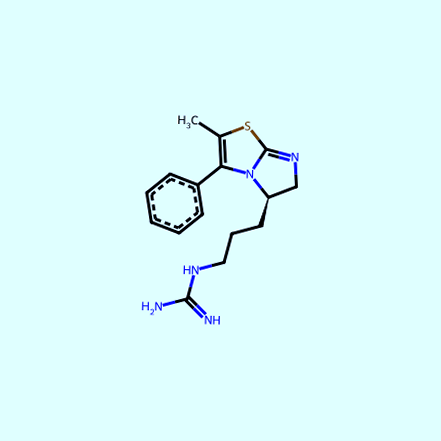 CC1=C(c2ccccc2)N2C(=NC[C@H]2CCCNC(=N)N)S1